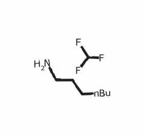 CCCCCCCN.FC(F)F